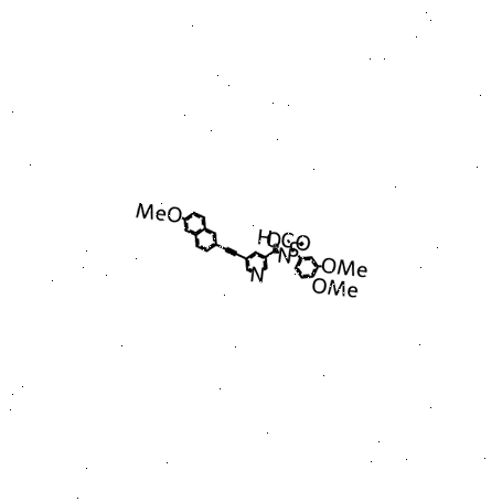 COc1ccc2cc(C#Cc3cncc(C(=O)N=S(C)(=O)c4ccc(OC)c(OC)c4)c3)ccc2c1